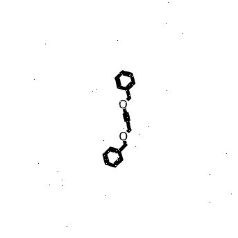 C(#COCc1ccccc1)COCc1ccccc1